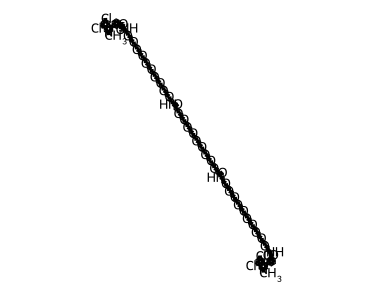 CN1Cc2c(Cl)cc(Cl)cc2C(c2cccc(S(=O)(=O)NCCOCCOCCOCCOCCOCCOCCOCCOCCOCCOCCNC(=O)CCOCCOCCOCCOCCOCCOCCOCCOCCOCCC(=O)NCCOCCOCCOCCOCCOCCOCCOCCOCCOCCOCCNS(=O)(=O)c3cccc(C4CN(C)CC5C(Cl)CC(Cl)CC45)c3)c2)C1